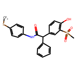 CS(=O)(=O)c1cc(C(C(=O)Nc2ccc(SC(F)(F)F)cc2)c2ccccc2)ccc1O